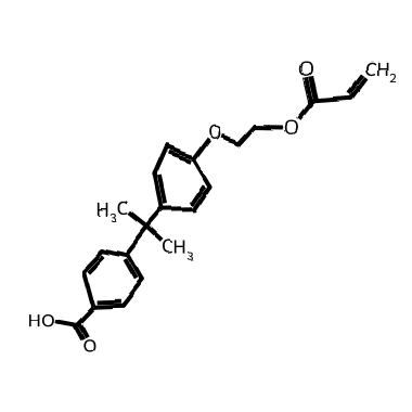 C=CC(=O)OCCOc1ccc(C(C)(C)c2ccc(C(=O)O)cc2)cc1